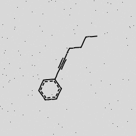 CCC[CH]C#Cc1ccccc1